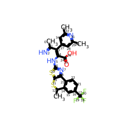 CC(=N)/C(=C(\Nc1nc2c(s1)SC(C)c1cc(C(F)(F)F)ccc1-2)C(=O)O)c1cc(C)nc(C)c1